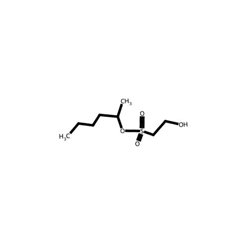 CCCCC(C)OS(=O)(=O)CCO